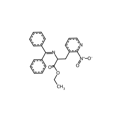 CCOC(=O)C(Cc1cccnc1[N+](=O)[O-])N=C(c1ccccc1)c1ccccc1